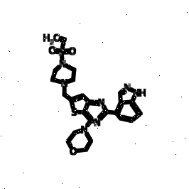 C=CS(=O)(=O)N1CCN(Cc2cc3nc(-c4cccc5[nH]ncc45)nc(N4CCOCC4)c3s2)CC1